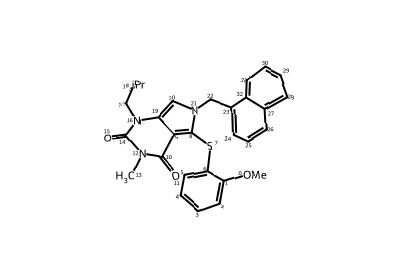 COc1ccccc1Sc1c2c(=O)n(C)c(=O)n(CC(C)C)c2cn1Cc1cccc2ccccc12